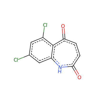 O=c1ccc(=O)c2c(Cl)cc(Cl)cc2[nH]1